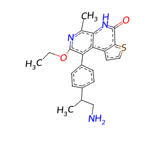 CCOc1nc(C)c2[nH]c(=O)c3sccc3c2c1-c1ccc(C(C)CN)cc1